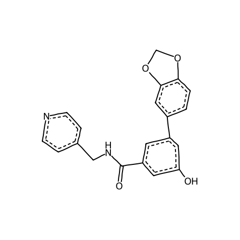 O=C(NCc1ccncc1)c1cc(O)cc(-c2ccc3c(c2)OCO3)c1